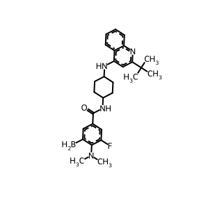 Bc1cc(C(=O)NC2CCC(Nc3cc(C(C)(C)C)nc4ccccc34)CC2)cc(F)c1N(C)C